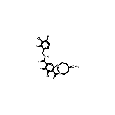 COC1CCN2CN(CC1)n1cc(C(=O)NCc3ccc(F)c(Cl)c3F)c(=O)c(O)c1C2=O